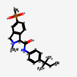 CS(=O)(=O)c1ccc2c(c1)CN(C(=O)O)C2C(=O)Nc1ccc(C(CC#N)(C(F)(F)F)C(F)(F)F)cc1